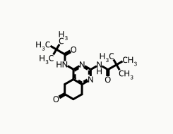 CC(C)(C)C(=O)Nc1nc2c(c(NC(=O)C(C)(C)C)n1)CC(=O)CC2